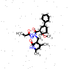 C=CC(=O)NN(Cc1c(C)cc(C)[nH]c1=O)C(=O)C1C=C(c2ccccc2)C=CC1(C)OC(F)(F)F